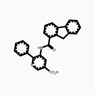 O=C(O)c1cnc(-c2ccccc2)c(NC(=O)c2cccc3c2Cc2ccccc2-3)c1